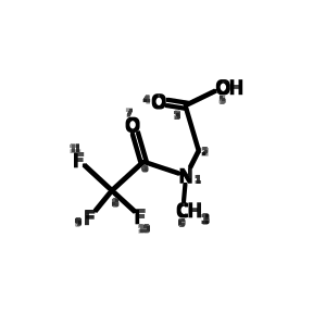 CN(CC(=O)O)C(=O)C(F)(F)F